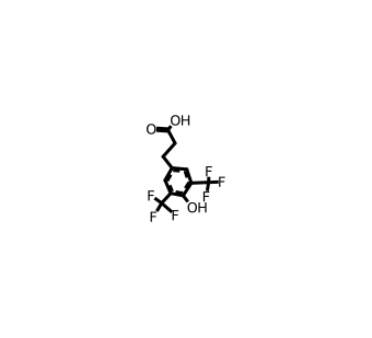 O=C(O)CCc1cc(C(F)(F)F)c(O)c(C(F)(F)F)c1